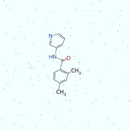 Cc1ccc(C(=O)Nc2cccnc2)c(C)c1